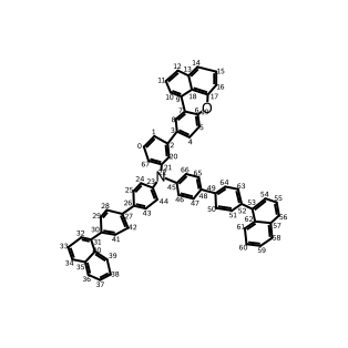 c1cc(-c2ccc3c(c2)-c2cccc4cccc(c24)O3)cc(N(c2ccc(-c3ccc(-c4cccc5ccccc45)cc3)cc2)c2ccc(-c3ccc(-c4cccc5ccccc45)cc3)cc2)c1